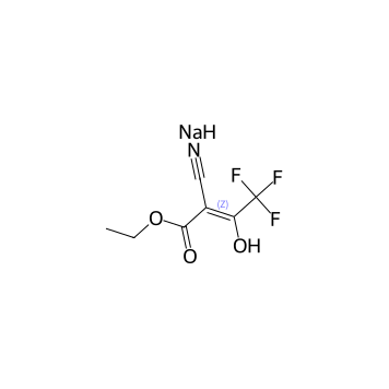 CCOC(=O)/C(C#N)=C(\O)C(F)(F)F.[NaH]